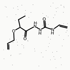 C=CCOC(CC)C(=O)NNC(=O)NC=C